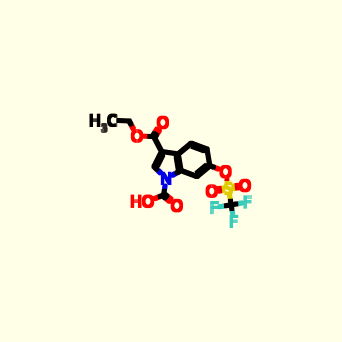 CCOC(=O)c1cn(C(=O)O)c2cc(OS(=O)(=O)C(F)(F)F)ccc12